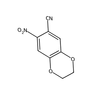 N#Cc1cc2c(cc1[N+](=O)[O-])OCCO2